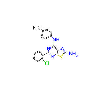 Nc1nc2c(Nc3ccc(C(F)(F)F)cc3)nc(-c3ccccc3Cl)nc2s1